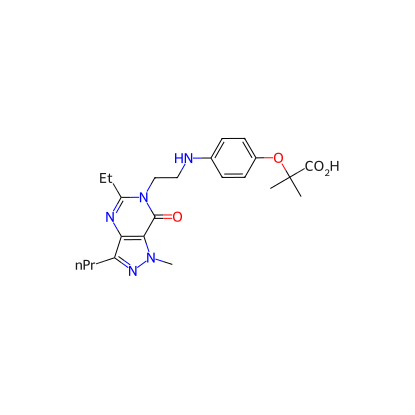 CCCc1nn(C)c2c(=O)n(CCNc3ccc(OC(C)(C)C(=O)O)cc3)c(CC)nc12